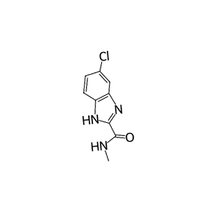 CNC(=O)c1nc2cc(Cl)ccc2[nH]1